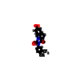 CN1C(=O)N(c2ccc(C#N)c(C(F)(F)F)c2)C(=O)C12CCc1cc(O)ccc12